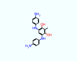 Cc1c(O)c(Nc2ccc(N)cc2)cc(Nc2ccc(N)cc2)c1O